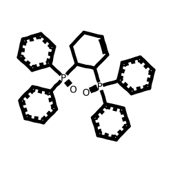 O=P(c1ccccc1)(c1ccccc1)C1C=CCCC1P(=O)(c1ccccc1)c1ccccc1